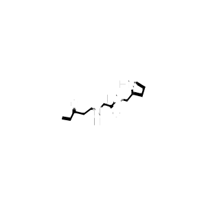 C=CC(=O)CCNCC(=O)NCc1ccc[nH]1